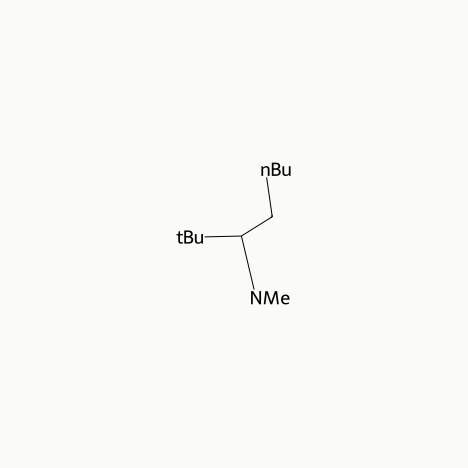 CCCCCC(NC)C(C)(C)C